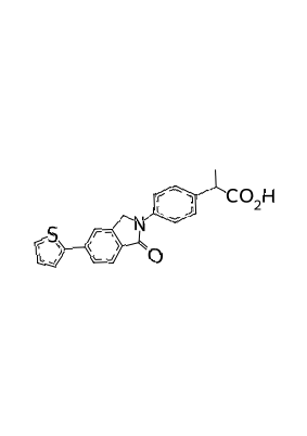 CC(C(=O)O)c1ccc(N2Cc3cc(-c4cccs4)ccc3C2=O)cc1